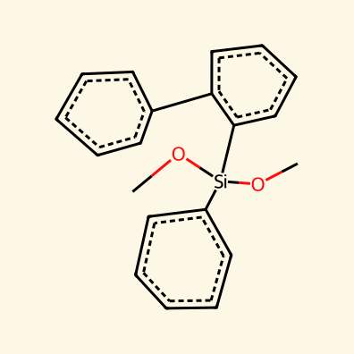 CO[Si](OC)(c1ccccc1)c1ccccc1-c1ccccc1